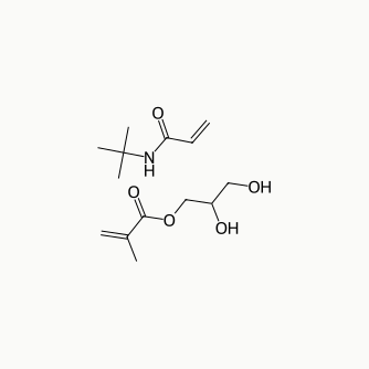 C=C(C)C(=O)OCC(O)CO.C=CC(=O)NC(C)(C)C